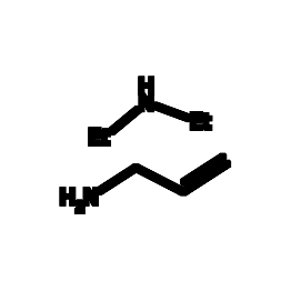 C=CCN.CCNCC